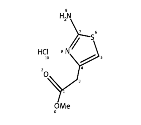 COC(=O)Cc1csc(N)n1.Cl